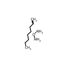 C=CCCCCCC.[AlH2][O][AlH2]